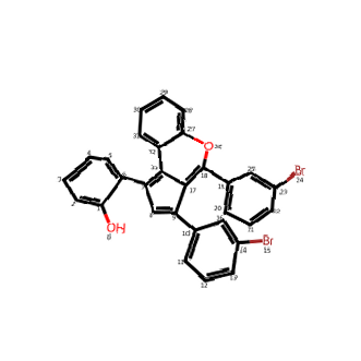 Oc1ccccc1-c1cc(-c2cccc(Br)c2)c2c(-c3cccc(Br)c3)oc3ccccc3c1-2